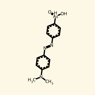 CN(C)c1ccc(N=Nc2ccc([AsH](=O)O)cc2)cc1